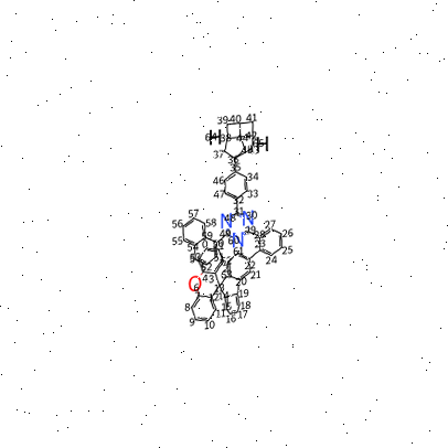 c1ccc2c(c1)Oc1ccccc1C21c2ccccc2-c2cc(-c3ccccc3-c3nc(-c4ccc(C56C[C@H]7CC8C[C@@H](C5)C87C6)cc4)nc(-c4cccc5ccccc45)n3)ccc21